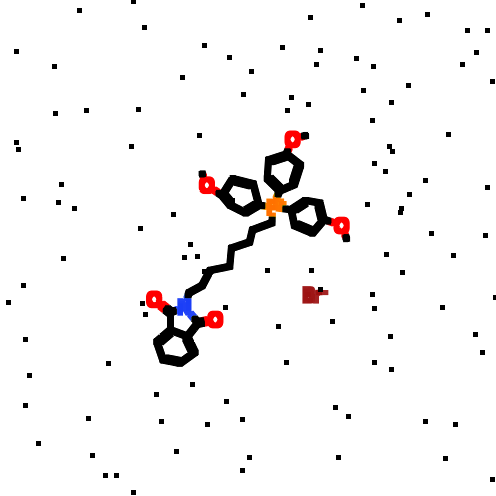 COc1ccc([P+](CCCCCCCCN2C(=O)c3ccccc3C2=O)(c2ccc(OC)cc2)c2ccc(OC)cc2)cc1.[Br-]